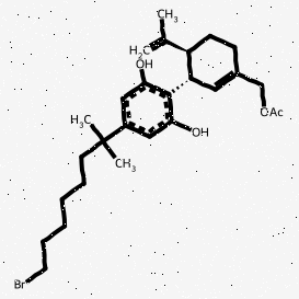 C=C(C)[C@H]1CCC(COC(C)=O)=C[C@@H]1c1c(O)cc(C(C)(C)CCCCCCBr)cc1O